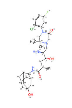 CC(C)[C@H](C[C@H](O)[C@@H](N)CN1CC(=O)N(c2cc(F)ccc2Cl)CC1(C)C)C(=O)NC1C2CC3CC1CC(O)(C3)C2